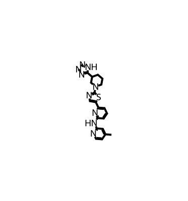 Cc1ccnc(Nc2cccc(-c3cnc(N4CCCC(c5nnn[nH]5)C4)s3)n2)c1